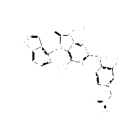 CC(C)(C)n1c(=O)n(-c2cccc3[nH]ncc23)c2c(N)nc(Nc3ccc(C[SH](=O)=O)cc3F)nc21